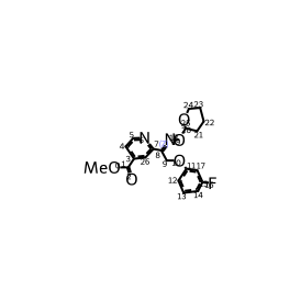 COC(=O)c1ccnc(/C(COc2cccc(F)c2)=N/OC2CCCCO2)c1